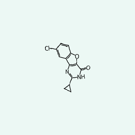 O=c1[nH]c(C2CC2)nc2c1oc1ccc(Cl)cc12